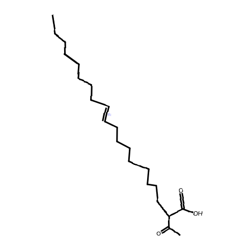 CCCCCCCC/C=C/CCCCCCCCC(C(C)=O)C(=O)O